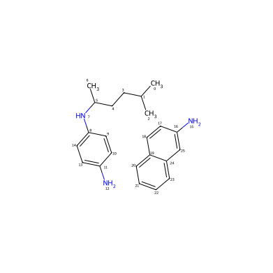 CC(C)CCC(C)Nc1ccc(N)cc1.Nc1ccc2ccccc2c1